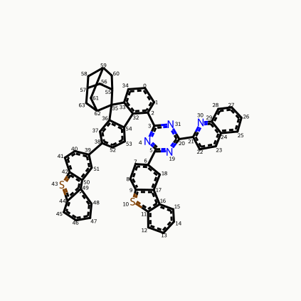 c1cc(-c2nc(-c3ccc4sc5ccccc5c4c3)nc(-c3ccc4ccccc4n3)n2)c2c(c1)C1(c3cc(-c4ccc5sc6ccccc6c5c4)ccc3-2)C2CC3CC(C2)CC1C3